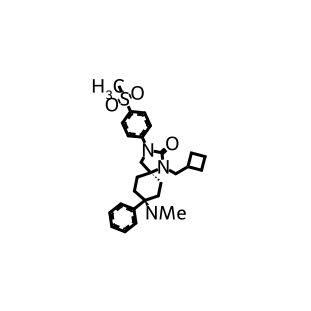 CN[C@]1(c2ccccc2)CC[C@]2(CC1)CN(c1ccc(S(C)(=O)=O)cc1)C(=O)N2CC1CCC1